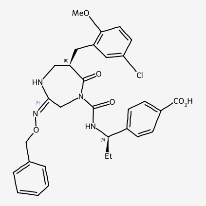 CC[C@@H](NC(=O)N1C/C(=N\OCc2ccccc2)NC[C@@H](Cc2cc(Cl)ccc2OC)C1=O)c1ccc(C(=O)O)cc1